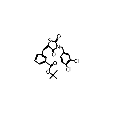 CC(C)(C)OC(=O)c1cccc(C=C2SC(=O)N(Cc3ccc(Cl)c(Cl)c3)C2=O)c1